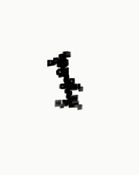 CCOc1ccc(-c2nc(CCC(=O)C(=O)[C@@H](N)CCCNC(N)N)co2)cc1OCC